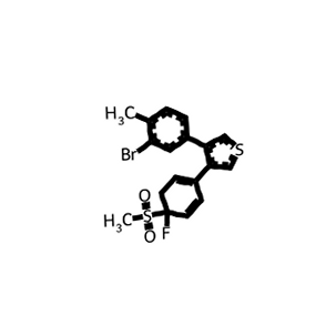 Cc1ccc(-c2cscc2C2=CCC(F)(S(C)(=O)=O)C=C2)cc1Br